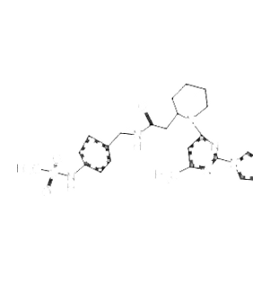 Cc1cc(N2CCCCC2CC(=O)NCc2ccc(NS(C)(=O)=O)cc2)nc(-n2ccnc2)n1